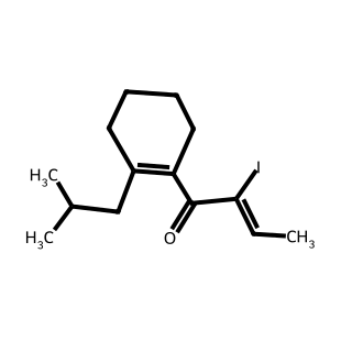 CC=C(I)C(=O)C1=C(CC(C)C)CCCC1